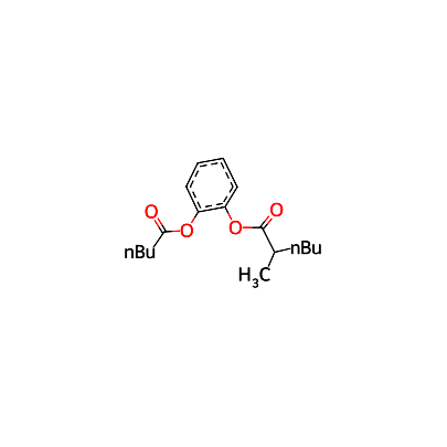 CCCCC(=O)Oc1ccccc1OC(=O)C(C)CCCC